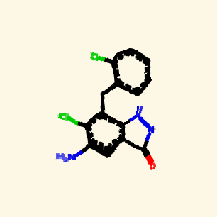 Nc1cc2c(c(Cc3ccccc3Cl)c1Cl)N[N]C2=O